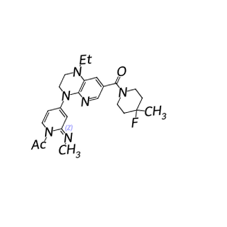 CCN1CCN(c2ccn(C(C)=O)/c(=N\C)c2)c2ncc(C(=O)N3CCC(C)(F)CC3)cc21